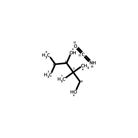 CC(C)C(O)C(C)(C)CO.N=C=O